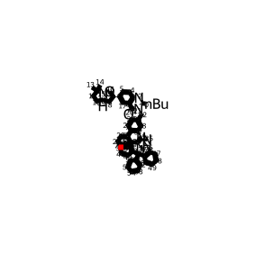 CCCCc1nc2ccc([C@@H]3C[C@@H]4CCC(C)(C)N4O3)cc2c(=O)n1Cc1ccc(-c2ccccc2-c2nnnn2C(c2ccccc2)(c2ccccc2)c2ccccc2)cc1